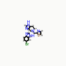 Brc1ccc2nc([C@@H]3c4nc[nH]c4CCN3Cc3nccs3)[nH]c2c1